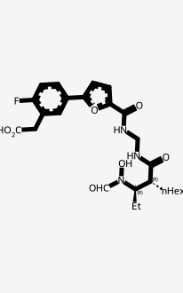 CCCCCC[C@@H](C(=O)NCNC(=O)c1ccc(-c2ccc(F)c(CC(=O)O)c2)o1)[C@@H](CC)N(O)C=O